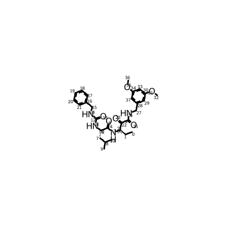 CC[C@@H](NC(=O)[C@H](CC(C)C)NC(=O)NCc1ccccc1)C(=O)C(=O)NCc1cc(OC)cc(OC)c1